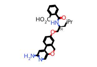 CC(C)C[C@@H](COc1ccc2c(c1)COc1cnc(N)cc1-2)NC(=O)c1ccccc1C(=O)O